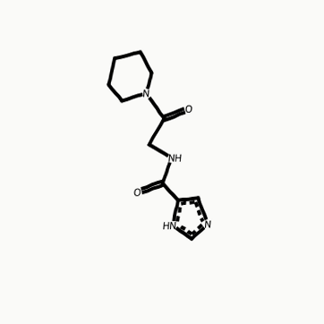 O=C(NCC(=O)N1CCCCC1)c1cnc[nH]1